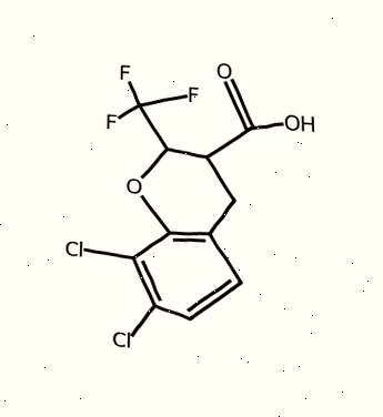 O=C(O)C1Cc2ccc(Cl)c(Cl)c2OC1C(F)(F)F